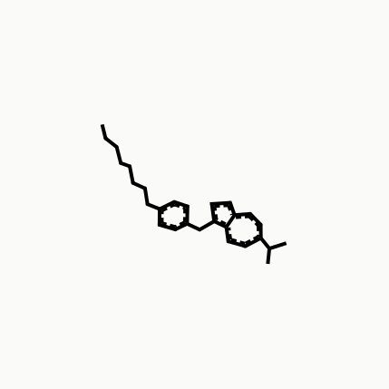 CCCCCCCCc1ccc(Cc2ccc3ccc(C(C)C)ccc2-3)cc1